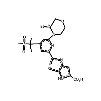 CC[C@H]1COCCN1c1cc(C(C)(C)S(C)(=O)=O)cc(-c2ccc3[nH]c(C(=O)O)cc3n2)n1